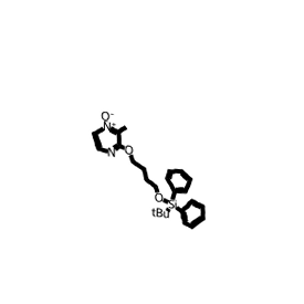 Cc1c(OCCCCO[Si](c2ccccc2)(c2ccccc2)C(C)(C)C)ncc[n+]1[O-]